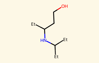 CCC(CC)NC(CC)CCO